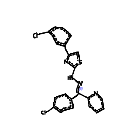 Clc1ccc(/C(=N\Nc2nc(-c3cccc(Cl)c3)cs2)c2ccccn2)cc1